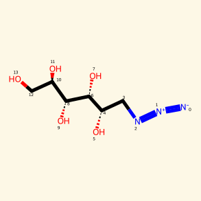 [N-]=[N+]=NC[C@H](O)[C@@H](O)[C@H](O)[C@H](O)CO